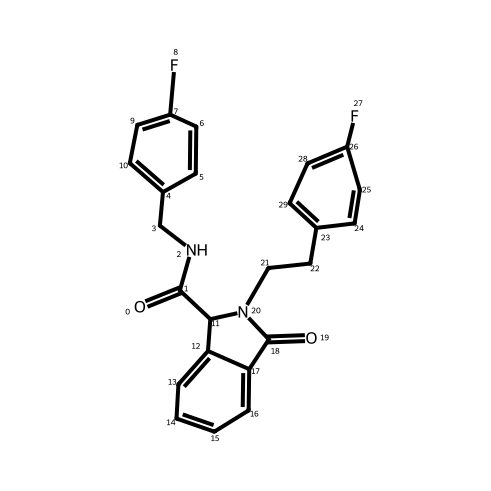 O=C(NCc1ccc(F)cc1)C1c2ccccc2C(=O)N1CCc1ccc(F)cc1